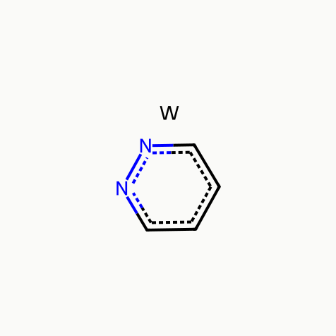 [W].c1ccnnc1